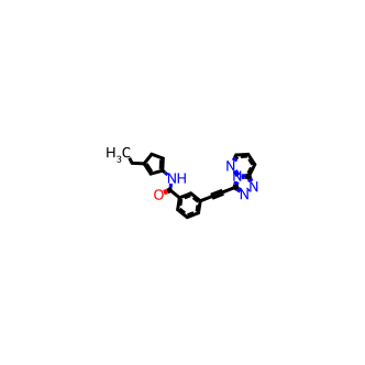 CCC1=CC(NC(=O)c2cccc(C#Cc3nnc4cccnn34)c2)=CC1